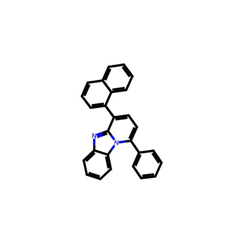 c1ccc(-c2ccc(-c3cccc4ccccc34)c3nc4ccccc4n23)cc1